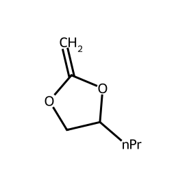 C=C1OCC(CCC)O1